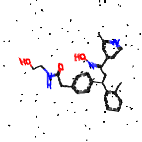 Cc1cc(C(CC(c2ccc(CC(=O)NCCO)cc2)c2ccccc2C)=NO)ccn1